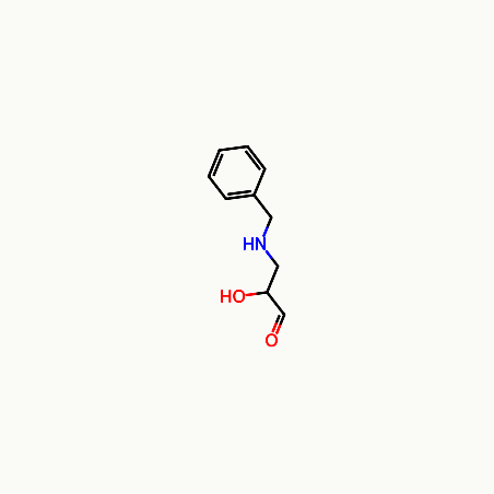 O=CC(O)CNCc1ccccc1